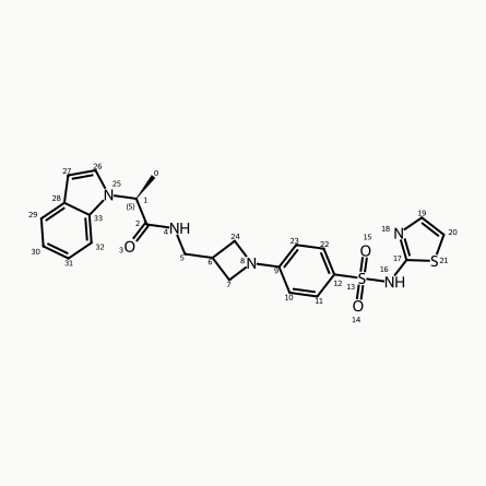 C[C@@H](C(=O)NCC1CN(c2ccc(S(=O)(=O)Nc3nccs3)cc2)C1)n1ccc2ccccc21